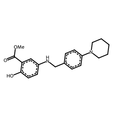 COC(=O)c1cc(NCc2ccc(N3CCCCC3)cc2)ccc1O